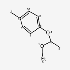 CCOC(C)Oc1ccc(C)cc1